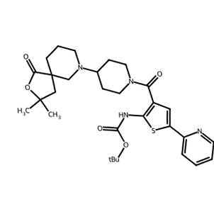 CC(C)(C)OC(=O)Nc1sc(-c2ccccn2)cc1C(=O)N1CCC(N2CCCC3(C2)CC(C)(C)OC3=O)CC1